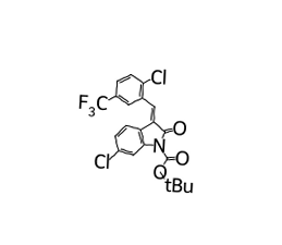 CC(C)(C)OC(=O)N1C(=O)/C(=C/c2cc(C(F)(F)F)ccc2Cl)c2ccc(Cl)cc21